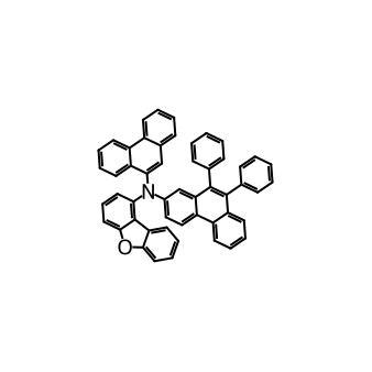 c1ccc(-c2c(-c3ccccc3)c3cc(N(c4cc5ccccc5c5ccccc45)c4cccc5oc6ccccc6c45)ccc3c3ccccc23)cc1